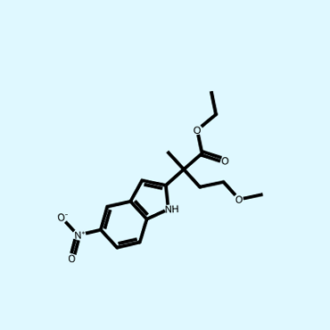 CCOC(=O)C(C)(CCOC)c1cc2cc([N+](=O)[O-])ccc2[nH]1